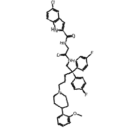 COc1ccccc1C1CCN(CCCC(CNC(=O)CNC(=O)c2cc3cc(Cl)ccc3[nH]2)(c2ccc(F)cc2)c2ccc(F)cc2)CC1